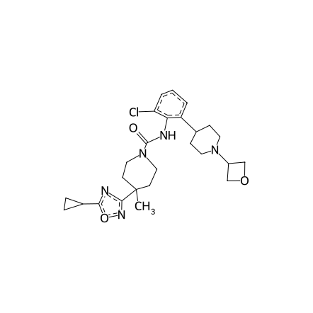 CC1(c2noc(C3CC3)n2)CCN(C(=O)Nc2c(Cl)cccc2C2CCN(C3COC3)CC2)CC1